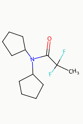 CC(F)(F)C(=O)N(C1CCCC1)C1CCCC1